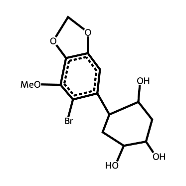 COc1c(Br)c(C2CC(O)C(O)CC2O)cc2c1OCO2